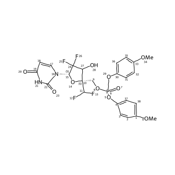 COc1ccc(OP(=O)(OC[C@]2(C(F)F)O[C@H](n3ccc(=O)[nH]c3=O)C(F)(F)C2O)Oc2ccc(OC)cc2)cc1